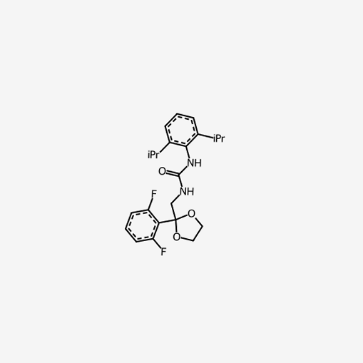 CC(C)c1cccc(C(C)C)c1NC(=O)NCC1(c2c(F)cccc2F)OCCO1